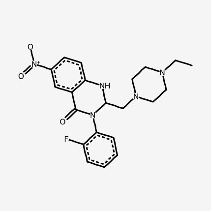 CCN1CCN(CC2Nc3ccc([N+](=O)[O-])cc3C(=O)N2c2ccccc2F)CC1